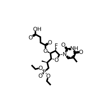 CCOP(=O)(C[C@@H](C)[C@H]1O[C@@H](n2cc(C)c(=O)[nH]c2=O)[C@H](F)[C@@H]1OC(=O)CCC(=O)O)OCC